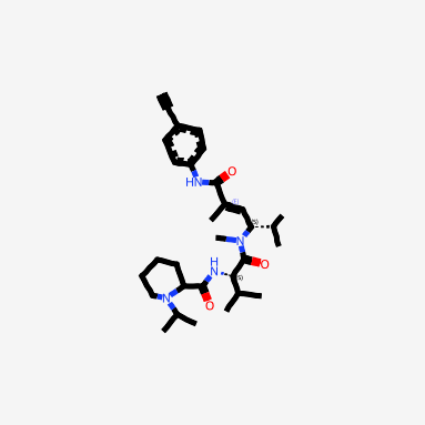 C#Cc1ccc(NC(=O)/C(C)=C/[C@H](C(C)C)N(C)C(=O)[C@@H](NC(=O)C2CCCCN2C(C)C)C(C)C)cc1